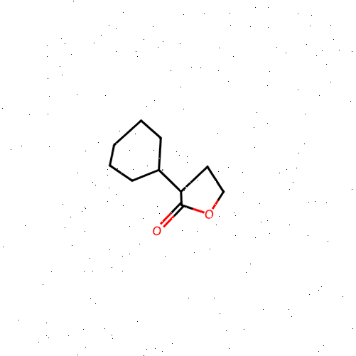 O=C1OCCC1[C]1CCCCC1